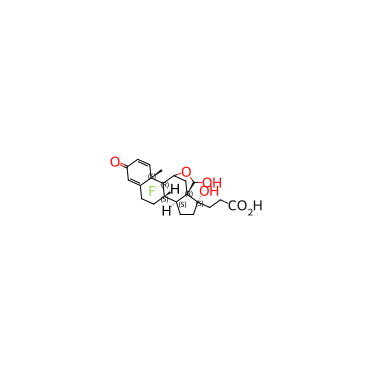 C[C@]12C=CC(=O)C=C1CC[C@H]1[C@@H]3CC[C@](O)(CCC(=O)O)[C@@]34CC(OC4O)[C@@]12F